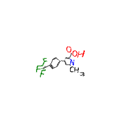 Cc1cc(-c2ccc(C(F)(F)F)cc2)cc(C(=O)O)n1